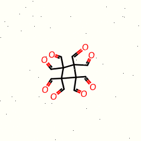 O=CC1(C=O)C(C=O)(C=O)C(C=O)(C=O)C1(C=O)C=O